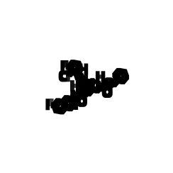 CN(C(=O)NCc1cccc(F)c1Cl)C(CNC(=O)OCc1ccccc1)COC(=O)Nc1cc2cc(F)ccc2cn1